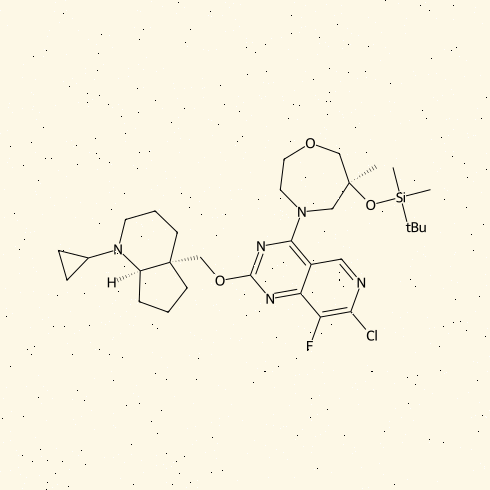 CC(C)(C)[Si](C)(C)O[C@]1(C)COCCN(c2nc(OC[C@]34CCC[C@H]3N(C3CC3)CCC4)nc3c(F)c(Cl)ncc23)C1